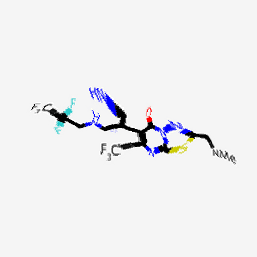 CNCc1nn2c(=O)c(/C(C=N)=C/NCC(F)(F)C(F)(F)F)c(C(F)(F)F)nc2s1